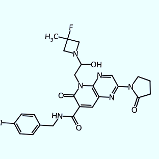 CC1(F)CN(C(O)Cn2c(=O)c(C(=O)NCc3ccc(Cl)cc3)cc3nc(N4CCCC4=O)cnc32)C1